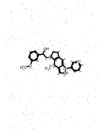 COc1cccc(C(O)C[C@H]2CCC3=C2[C@@H](C)C2=CNN(c4cccnc4)C2=C3)c1